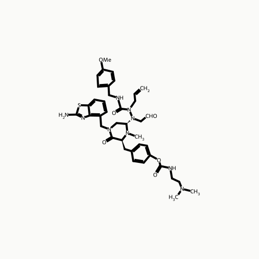 C=CCN(C(=O)NCc1ccc(OC)cc1)N(CC=O)[C@H]1CN(Cc2cccc3sc(N)nc23)C(=O)[C@H](Cc2ccc(OC(=O)NCCN(C)C)cc2)N1C